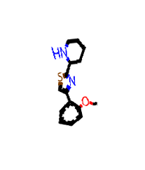 COc1ccccc1-c1csc(C2CCCCN2)n1